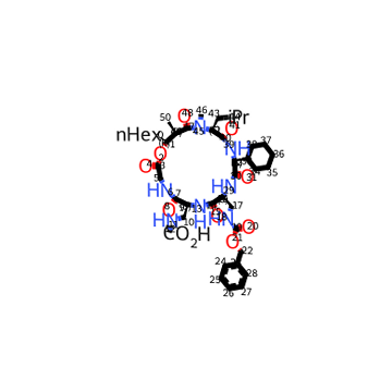 CCCCCC[C@H]1OC(=O)CNC(=O)[C@H](CNC(=O)O)NC(=O)[C@H](CNC(=O)OCc2ccccc2)NC(=O)[C@H](C2CCCCC2)NC(=O)[C@H](CC(C)C)N(C)C(=O)[C@@H]1C